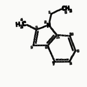 CCn1c(C)cc2[c]cccc21